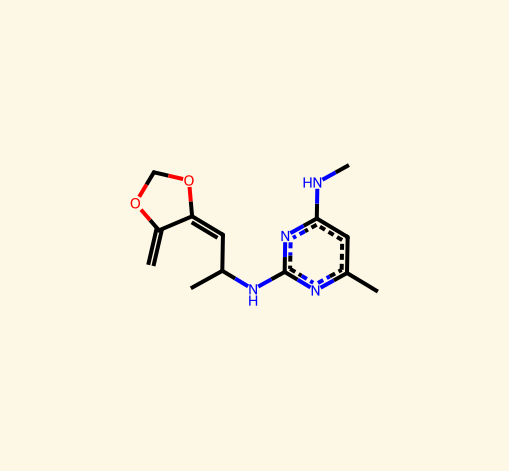 C=C1OCO/C1=C/C(C)Nc1nc(C)cc(NC)n1